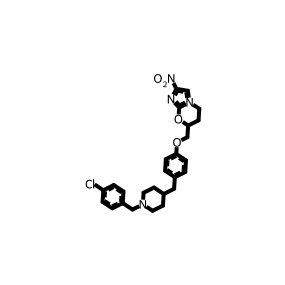 O=[N+]([O-])c1cn2c(n1)OC(COc1ccc(CC3CCN(Cc4ccc(Cl)cc4)CC3)cc1)CC2